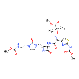 CC(C)(C)OC(=O)NCCN1CCN(C[C@H]2NC(=O)[C@H]2NC(=O)C(=NOC(C)(C)C(=O)OC(C)(C)C)c2csc(NC(=O)OC(C)(C)C)n2)C1=O